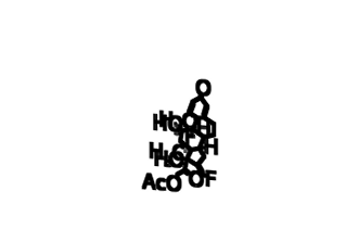 CC(=O)OCC(=O)[C@@]1(O)C(=CF)C[C@H]2[C@@H]3CCC4=CC(=O)C=C[C@]4(C)[C@@]3(F)[C@@H](O)C[C@@]21C